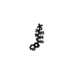 CC(C)(C)OC(=O)NC(=S)NOC(=O)c1ccc2c(c1)CCCO2